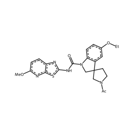 CCOc1ccc2c(c1)C1(CCN(C(C)=O)C1)CN2C(=O)Nc1nc2ccc(OC)nc2s1